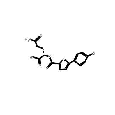 NC(=O)CC[C@H](NC(=O)c1ccc(-c2ccc(Cl)cc2)s1)C(=O)O